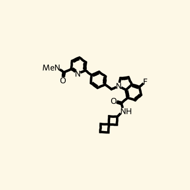 CNC(=O)c1cccc(-c2ccc(Cn3ccc4c(F)ccc(C(=O)NC5CC6(CCC6)C5)c43)cc2)n1